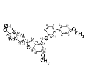 COc1ccc(-c2cccc(OCc3cc(OC)cc4oc(-c5cn6nc(OC)sc6n5)cc34)c2)cc1